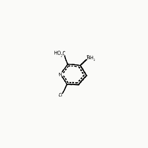 Bc1ccc(Cl)nc1C(=O)O